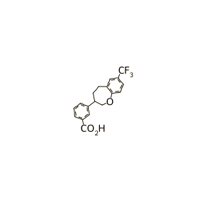 O=C(O)c1cccc(C2CCc3cc(C(F)(F)F)ccc3OC2)c1